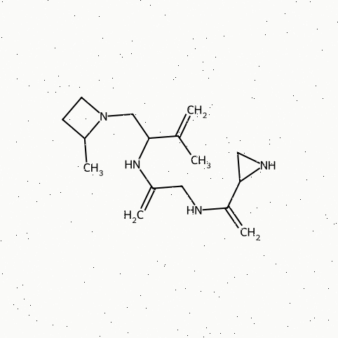 C=C(CNC(=C)C1CN1)NC(CN1CCC1C)C(=C)C